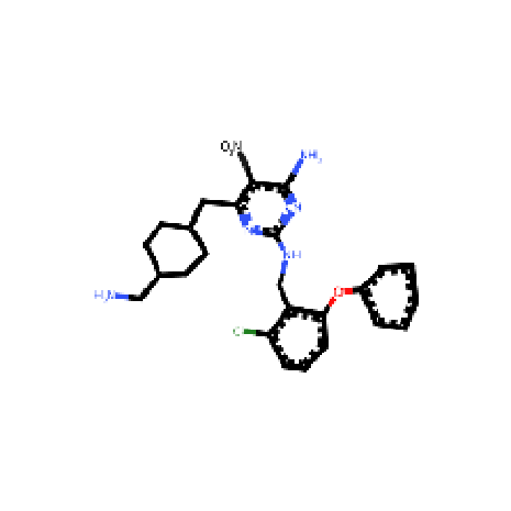 NCC1CCC(Cc2nc(NCc3c(Cl)cccc3Oc3ccccc3)nc(N)c2[N+](=O)[O-])CC1